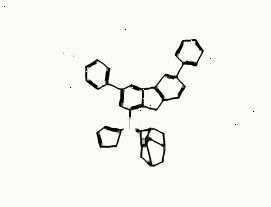 C1=CC[C]([Ti+2](=[C]2C3CC4CC(C3)CC2C4)[c]2cc(-c3ccccc3)cc3c2Cc2ccc(-c4ccccc4)cc2-3)=C1.[Cl-].[Cl-]